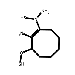 N/C1=C(\N(N)S)CCCCCC1OS